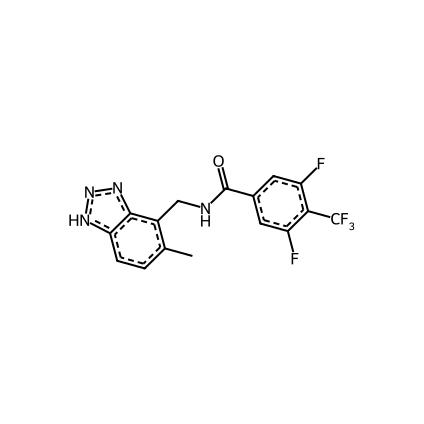 Cc1ccc2[nH]nnc2c1CNC(=O)c1cc(F)c(C(F)(F)F)c(F)c1